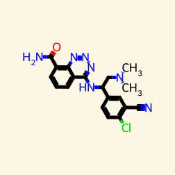 CN(C)CC(Nc1nnnc2c(C(N)=O)cccc12)c1ccc(Cl)c(C#N)c1